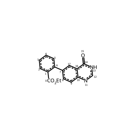 CCOC(=O)c1ccccc1-c1ccc2nc[nH]c(=O)c2c1